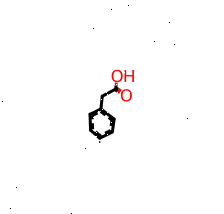 O=C(O)Cc1cc[c]cc1